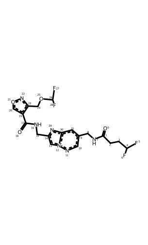 O=C(CCC(F)F)NCc1cnn2cc(CNC(=O)c3conc3COC(F)F)nc2c1